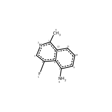 Cc1ncc(F)c2c(N)cccc12